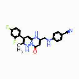 CC1=C(c2ccc(F)cc2F)C=C2NC(CNc3ccc(C#N)cc3)=CC(=O)N2N1